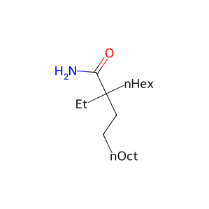 CCCCCCCCCCC(CC)(CCCCCC)C(N)=O